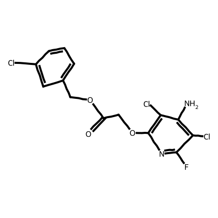 Nc1c(Cl)c(F)nc(OCC(=O)OCc2cccc(Cl)c2)c1Cl